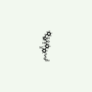 CC(C)(C)OCCOc1ccc(C#N)c(-c2ccnc(NC(=O)c3nnc(Cc4ccccc4)[nH]3)c2)c1